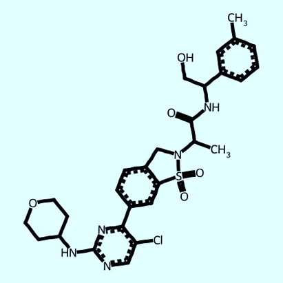 Cc1cccc(C(CO)NC(=O)C(C)N2Cc3ccc(-c4nc(NC5CCOCC5)ncc4Cl)cc3S2(=O)=O)c1